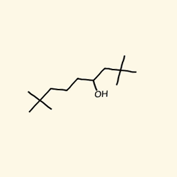 CC(C)(C)CCCC(O)CC(C)(C)C